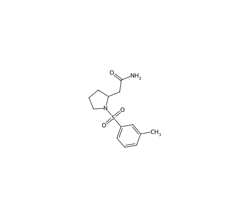 Cc1cccc(S(=O)(=O)N2CCCC2CC(N)=O)c1